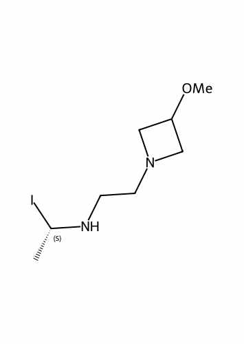 COC1CN(CCN[C@H](C)I)C1